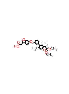 COCC1(COC)Cc2c(cc(C)c(-c3cccc(COc4ccc5c(c4)OCC5CC(=O)O)c3)c2C)O1